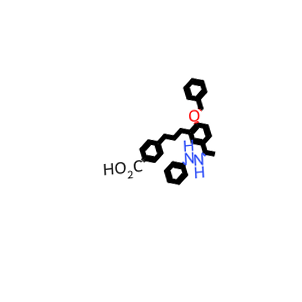 CC(NNc1ccccc1)c1ccc(OCc2ccccc2)c(CCCc2ccc(C(=O)O)cc2)c1